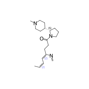 C=N/C(=C\C=C/C)CCC(=O)N1CCC[C@H]1C1CCN(C)CC1